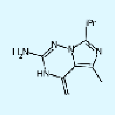 C=C1NC(N)=Nn2c(C(C)C)nc(C)c21